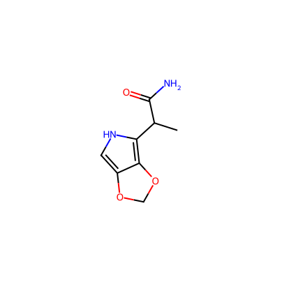 CC(C(N)=O)c1[nH]cc2c1OCO2